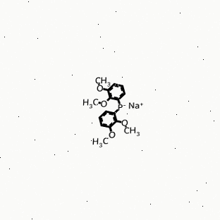 COc1cccc([P-]c2cccc(OC)c2OC)c1OC.[Na+]